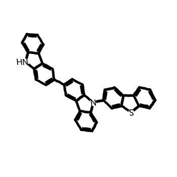 c1ccc2c(c1)[nH]c1ccc(-c3ccc4c(c3)c3ccccc3n4-c3ccc4c(c3)sc3ccccc34)cc12